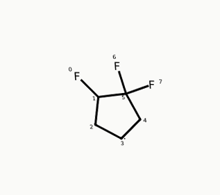 FC1C[CH]CC1(F)F